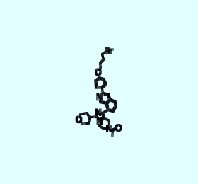 CC(=O)N1CCn2c(C3CCOCC3)nc(-c3cccc4cc(-c5ccc(OCCCCBr)cc5)ncc34)c2C1